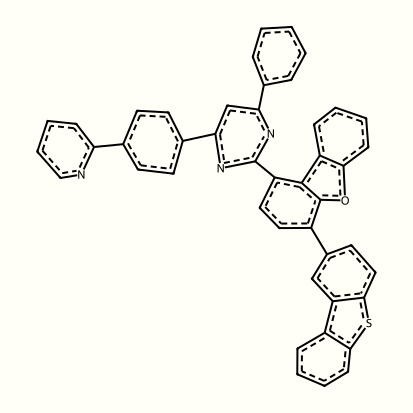 c1ccc(-c2cc(-c3ccc(-c4ccccn4)cc3)nc(-c3ccc(-c4ccc5sc6ccccc6c5c4)c4oc5ccccc5c34)n2)cc1